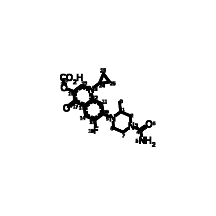 CC1CN(C(N)=O)CCN1c1cc2c(cc1F)c(=O)c(OC(=O)O)cn2C1CC1